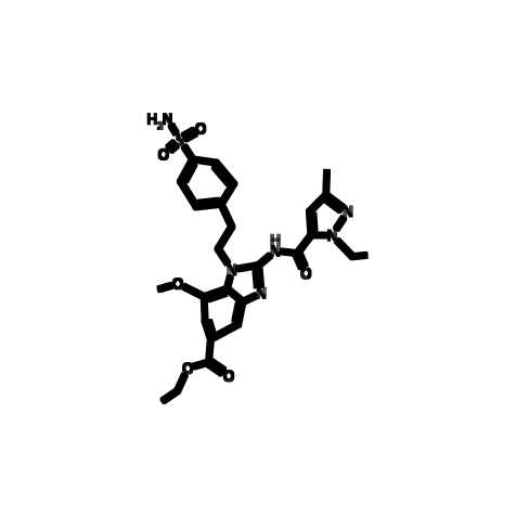 CCOC(=O)c1cc(OC)c2c(c1)nc(NC(=O)c1cc(C)nn1CC)n2CCc1ccc(S(N)(=O)=O)cc1